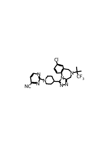 CC(C)(N1Cc2cc(Cl)ccc2-n2c(nnc2C2CCN(c3nccc(C#N)n3)CC2)C1)C(F)(F)F